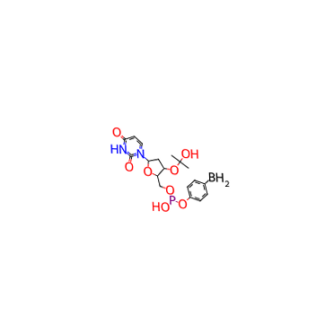 Bc1ccc(OP(O)OCC2OC(n3ccc(=O)[nH]c3=O)CC2OC(C)(C)O)cc1